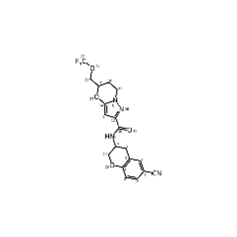 N#Cc1ccc2c(c1)CC(NC(=O)c1cc3n(n1)CCC(COC(F)(F)F)O3)CO2